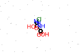 COc1cc(CNc2nc(Cl)ncc2C(=O)O)ccc1O